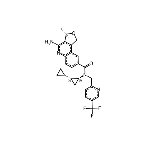 C[C@@H]1OCc2c1c(N)nc1ccc(C(=O)N(Cc3ccc(C(F)(F)F)cn3)[C@H]3C[C@@H]3C3CC3)cc21